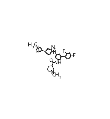 CN1CCCC(C(=O)Nc2cc(-c3ccc(F)cc3F)cc(-n3cnc4cc(-c5cnn(C)c5)ccc43)c2)C1